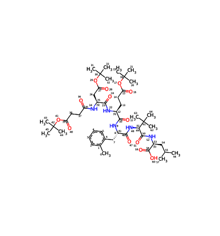 Cc1ccccc1C[C@H](NC(=O)[C@H](CCC(=O)OC(C)(C)C)NC(=O)[C@H](CC(=O)OC(C)(C)C)NC(=O)CCC(=O)OC(C)(C)C)C(=O)N[C@H](C(=O)N[C@@H](CC(C)C)C(=O)O)C(C)(C)C